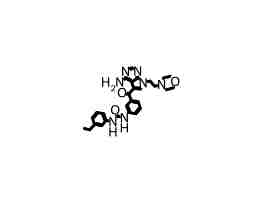 CCc1cccc(NC(=O)Nc2cccc(C(=O)c3cn(CCN4CCOCC4)c4ncnc(N)c34)c2)c1